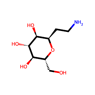 NCC[C@H]1O[C@H](CO)[C@@H](O)[C@H](O)[C@H]1O